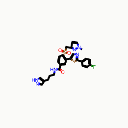 Cn1ccc(CS(=O)(=O)c2ccc(C(=O)NCCCc3cn[nH]c3)cc2-c2cnc(-c3ccc(F)cc3)s2)n1